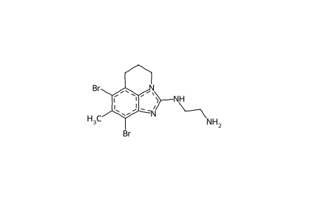 Cc1c(Br)c2c3c(nc(NCCN)n3CCC2)c1Br